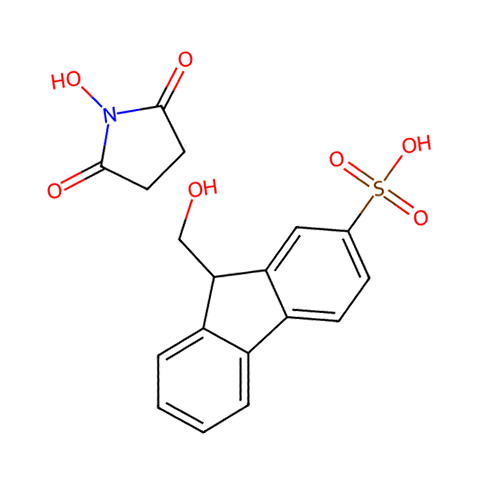 O=C1CCC(=O)N1O.O=S(=O)(O)c1ccc2c(c1)C(CO)c1ccccc1-2